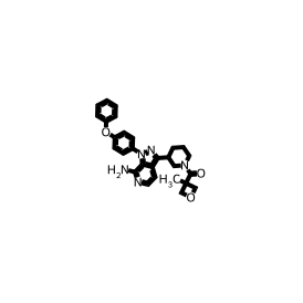 CC1(C(=O)N2CCCC(c3nn(-c4ccc(Oc5ccccc5)cc4)c4c(N)nccc34)C2)COC1